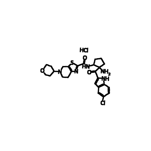 Cl.NC1(C(=O)c2cc3cc(Cl)ccc3[nH]2)CCCC1NC(=O)c1nc2c(s1)CN(C1CCOCC1)CC2